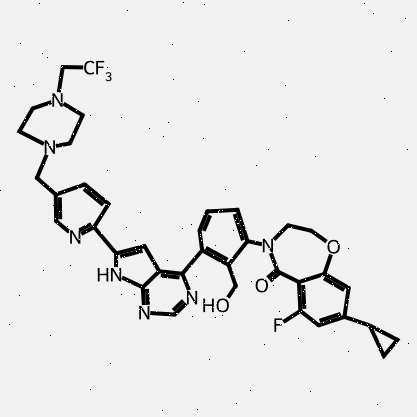 O=C1c2c(F)cc(C3CC3)cc2OCCN1c1cccc(-c2ncnc3[nH]c(-c4ccc(CN5CCN(CC(F)(F)F)CC5)cn4)cc23)c1CO